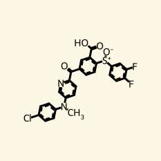 CN(c1ccc(Cl)cc1)c1ccc(C(=O)c2ccc([S+]([O-])c3ccc(F)c(F)c3)c(C(=O)O)c2)nc1